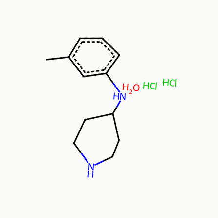 Cc1cccc(NC2CCNCC2)c1.Cl.Cl.O